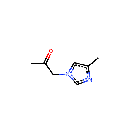 CC(=O)Cn1cnc(C)c1